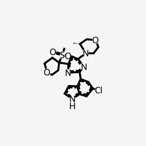 C[C@@H]1COCCN1c1cc(C2(S(C)(=O)=O)CCOCC2)nc(-c2cc(Cl)cc3[nH]ccc23)n1